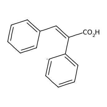 O=C(O)C(=Cc1ccccc1)c1[c]cccc1